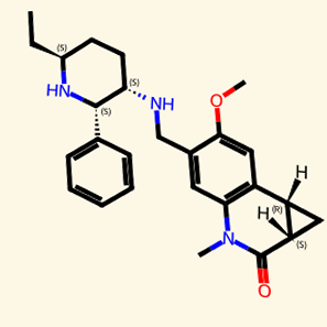 CC[C@H]1CC[C@H](NCc2cc3c(cc2OC)[C@@H]2C[C@@H]2C(=O)N3C)[C@H](c2ccccc2)N1